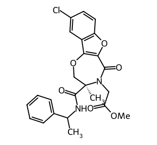 COC(=O)CN1C(=O)c2oc3ccc(Cl)cc3c2OC[C@]1(C)C(=O)NC(C)c1ccccc1